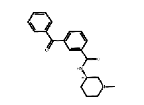 CN1CCC[C@@H](NC(=O)c2cccc(C(=O)c3ccccc3)c2)C1